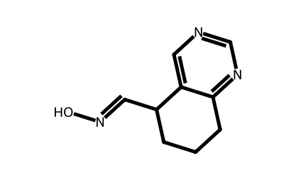 ON=CC1CCCc2ncncc21